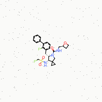 O=C(NC[C@@H]1CCO1)N1CC2(CC2)[C@H](NS(=O)(=O)CF)[C@@H]1Cc1cccc(-c2ccccc2)c1F